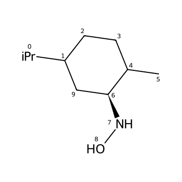 CC(C)C1CCC(C)[C@@H](NO)C1